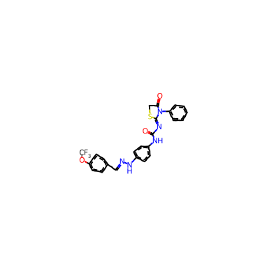 O=C(/N=C1\SCC(=O)N1c1ccccc1)Nc1ccc(N/N=C/c2ccc(OC(F)(F)F)cc2)cc1